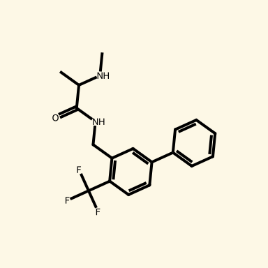 CNC(C)C(=O)NCc1cc(-c2ccccc2)ccc1C(F)(F)F